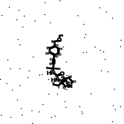 CCC1(NC(=O)NC(C)(C)C#Cc2ccc(COC)cc2)CN2CCC1CC2